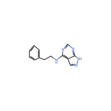 c1ccc(CCNc2ncnc3[nH]ncc23)cc1